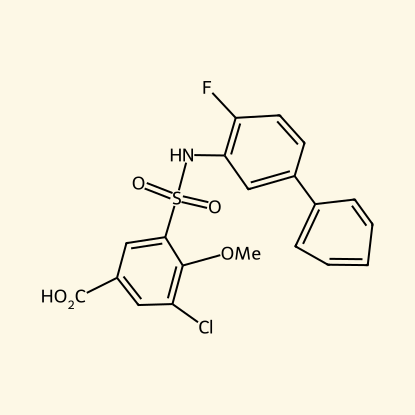 COc1c(Cl)cc(C(=O)O)cc1S(=O)(=O)Nc1cc(-c2ccccc2)ccc1F